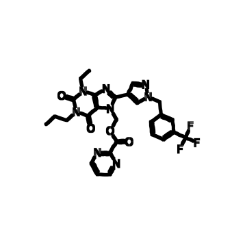 CCCn1c(=O)c2c(nc(-c3cnn(Cc4cccc(C(F)(F)F)c4)c3)n2COC(=O)c2ncccn2)n(CC)c1=O